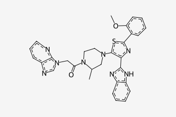 COc1ccccc1-c1nc(-c2nc3ccccc3[nH]2)c(N2CCN(C(=O)Cn3cnc4cccnc43)C(C)C2)s1